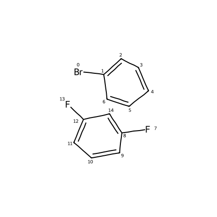 Brc1ccccc1.Fc1cccc(F)c1